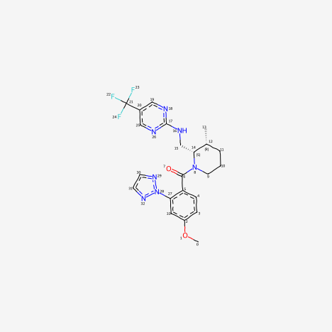 COc1ccc(C(=O)N2CCC[C@@H](C)[C@H]2CNc2ncc(C(F)(F)F)cn2)c(-n2nccn2)c1